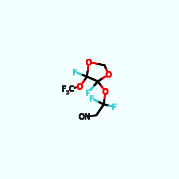 O=NCC(F)(F)OC1(F)OCOC1(F)OC(F)(F)F